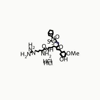 COc1cc(O)cc(-c2cc(CCCNC(=O)[C@@H](N)CCCN=C(N)N)c(/C=C3\SC(=S)N(C4CC5CCC4C5)C3=O)o2)c1.Cl.Cl